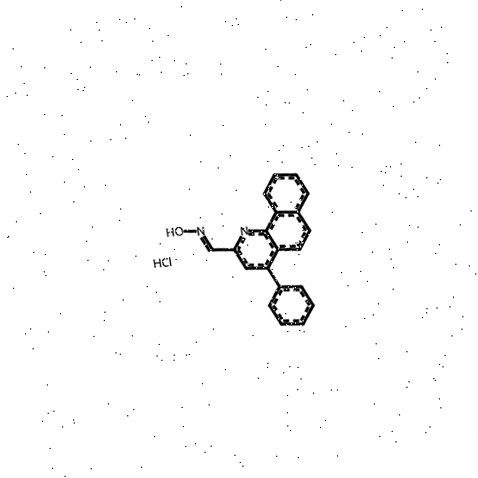 Cl.ON=Cc1cc(-c2ccccc2)c2ccc3ccccc3c2n1